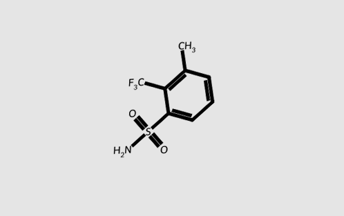 Cc1cccc(S(N)(=O)=O)c1C(F)(F)F